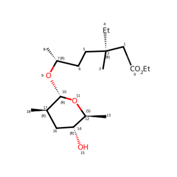 CCOC(=O)C[C@](C)(CC)CC[C@@H](C)O[C@@H]1O[C@@H](C)[C@H](O)C[C@H]1C